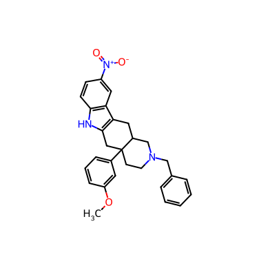 COc1cccc(C23CCN(Cc4ccccc4)CC2Cc2c([nH]c4ccc([N+](=O)[O-])cc24)C3)c1